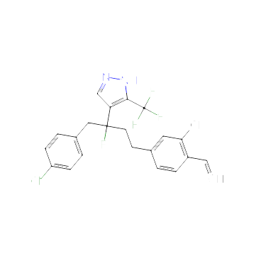 C=Cc1ccc(CCC(F)(Cc2ccc(Cl)cc2)c2cn[nH]c2C(F)(F)F)cc1C